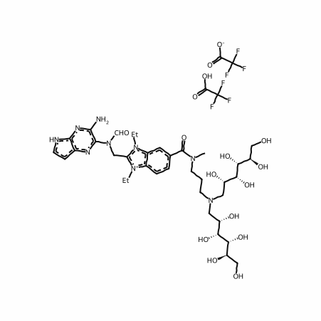 CCn1c(CN(C=O)c2nc3cc[nH]c3nc2N)[n+](CC)c2ccc(C(=O)N(C)CCCN(C[C@H](O)[C@@H](O)[C@H](O)[C@H](O)CO)C[C@H](O)[C@@H](O)[C@H](O)[C@H](O)CO)cc21.O=C(O)C(F)(F)F.O=C([O-])C(F)(F)F